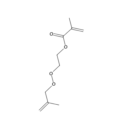 C=C(C)COOCCOC(=O)C(=C)C